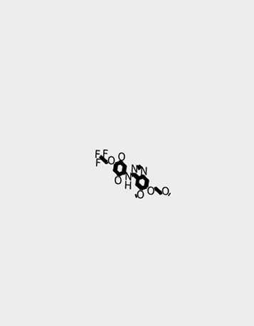 COCCOc1cc2ncnc(NC3=CC(=O)C(OCC(F)(F)F)=CC3=O)c2cc1OC